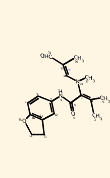 CC(C)=C(C(=O)Nc1ccc2c(c1)CCO2)N(C)/C=C(\C)C=O